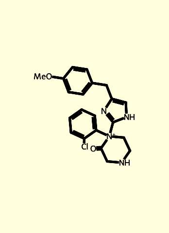 COc1ccc(Cc2c[nH]c([N+]3(c4ccccc4Cl)CCNCC3=O)n2)cc1